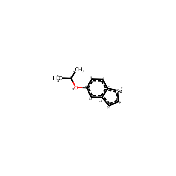 CC(C)Oc1ccc2[se]ccc2c1